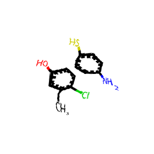 Cc1cc(O)ccc1Cl.Nc1ccc(S)cc1